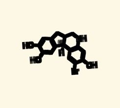 Oc1cc2c(cc1O)[C@@H]1c3cc(Br)c(O)cc3NCC1C2